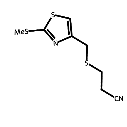 CSc1nc(CSCCC#N)cs1